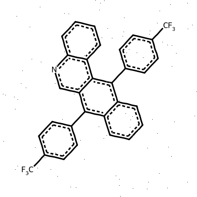 FC(F)(F)c1ccc(-c2c3ccccc3c(-c3ccc(C(F)(F)F)cc3)c3c2cnc2ccccc23)cc1